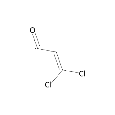 O=[C]C=C(Cl)Cl